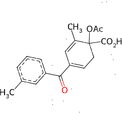 CC(=O)OC1(C(=O)O)CC=C(C(=O)c2cccc(C)c2)C=C1C